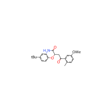 COc1ccc(C)c(C(=O)CC(Oc2ccc(C(C)(C)C)cc2)C(N)=O)c1